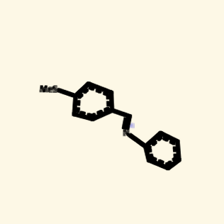 CSc1ccc(/C=N/c2ccccc2)cc1